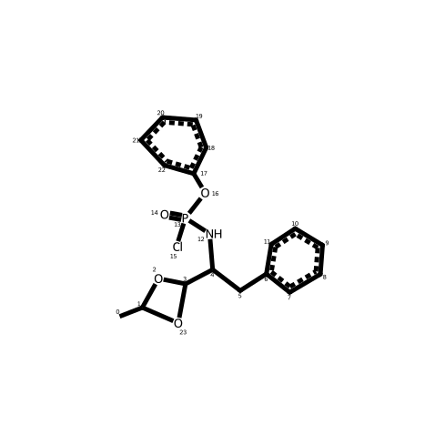 CC1OC(C(Cc2ccccc2)NP(=O)(Cl)Oc2ccccc2)O1